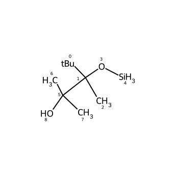 CC(C)(C)C(C)(O[SiH3])C(C)(C)O